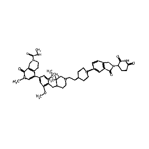 CNC(=O)N1CCc2c(-c3cc(OC)c(CN4CCN(CCC5CCN(c6ccc7c(c6)C(=O)N(C6CCC(=O)NC6=O)C7)CC5)CC4(C)C)c(OC)c3)cn(C)c(=O)c2C1